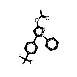 CC(=O)Oc1cc(-c2ccc(C(F)(F)F)cc2)n(-c2ccccc2)n1